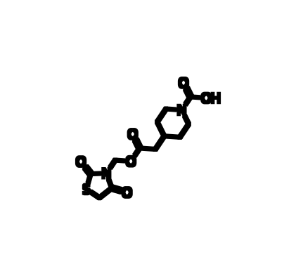 O=C(CC1CCN(C(=O)O)CC1)OCN1C(=O)CSC1=O